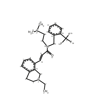 CCN1CCc2cccc(C=CC(=O)N(CCN(C)C)Cc3ccccc3C(F)(F)F)c2C1